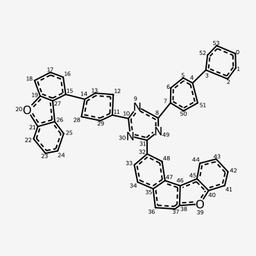 c1ccc(-c2ccc(-c3nc(-c4ccc(-c5cccc6oc7ccccc7c56)cc4)nc(-c4ccc5ccc6oc7ccccc7c6c5c4)n3)cc2)cc1